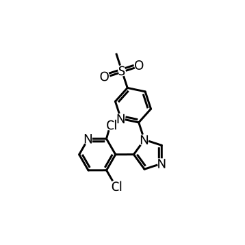 CS(=O)(=O)c1ccc(-n2cncc2-c2c(Cl)ccnc2Cl)nc1